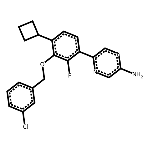 Nc1cnc(-c2ccc(C3CCC3)c(OCc3cccc(Cl)c3)c2F)cn1